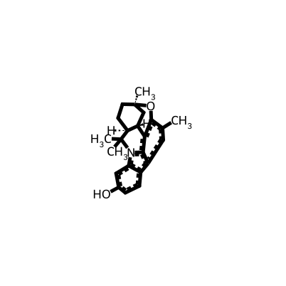 Cc1cc2c3ccc(O)cc3n3c2c2c1O[C@]1(C)CC[C@@H]([C@H]2C1)C3(C)C